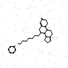 C[C@@]12CCC[C@H]1[C@@H]1C(CCCCCCCSc3ccccc3)CC3=CC(=O)CC[C@]3(C)[C@@H]1CC2